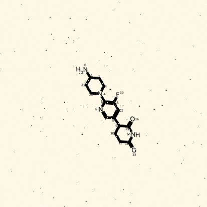 NC1CCN(c2ncc(C3CCC(=O)NC3=O)cc2F)CC1